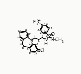 CN=S(=O)(NCCCN1c2ccccc2CCc2ccc(Cl)cc21)c1ccc(C(F)(F)F)cc1